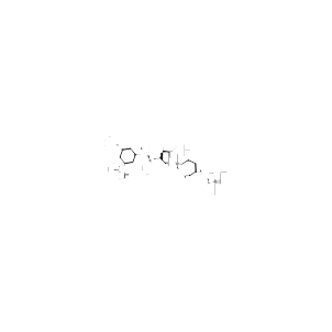 Cc1cc(C(=O)Nc2cc(Cl)cc(S(C)(=O)=O)c2)cn1-c1ncc(N2CC(F)(F)C2)cc1F